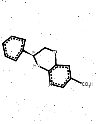 O=C(O)c1cnc2c(c1)OC[C@H](c1ccccc1)N2